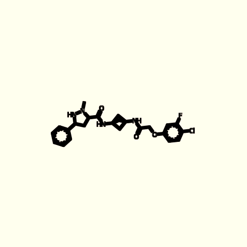 CN1NC(c2ccccc2)CC1C(=O)NC12CC(NC(=O)COc3ccc(Cl)c(F)c3)(C1)C2